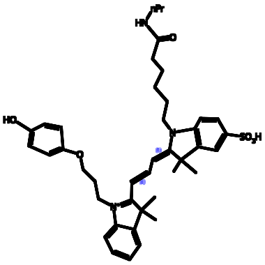 CCCNC(=O)CCCCCN1/C(=C/C=C/C2=[N+](CCCOc3ccc(O)cc3)c3ccccc3C2(C)C)C(C)(C)c2cc(S(=O)(=O)O)ccc21